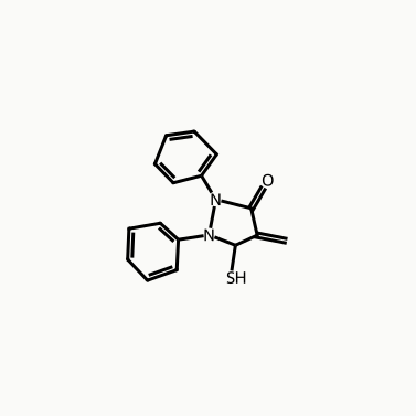 C=C1C(=O)N(c2ccccc2)N(c2ccccc2)C1S